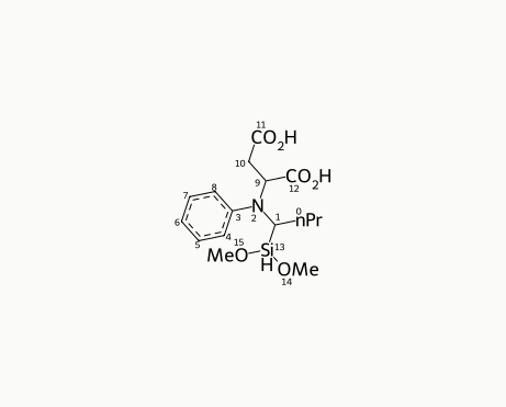 CCCC(N(c1ccccc1)C(CC(=O)O)C(=O)O)[SiH](OC)OC